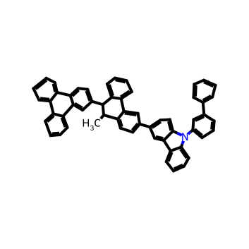 CC1c2ccc(-c3ccc4c(c3)c3ccccc3n4-c3cccc(-c4ccccc4)c3)cc2-c2ccccc2C1c1ccc2c3ccccc3c3ccccc3c2c1